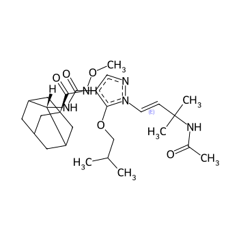 CONC(=O)[C@]12CC3CC(C1)[C@@H](NC(=O)c1cnn(/C=C/C(C)(C)NC(C)=O)c1OCC(C)C)C(C3)C2